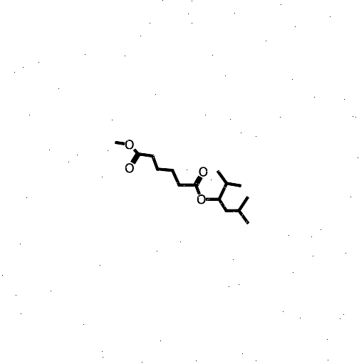 COC(=O)CCCCC(=O)OC(CC(C)C)C(C)C